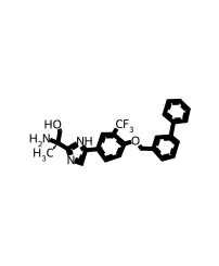 C[C@](N)(CO)c1ncc(-c2ccc(OCc3cccc(-c4ccccc4)c3)c(C(F)(F)F)c2)[nH]1